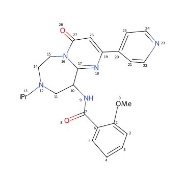 COc1ccccc1C(=O)NC1CN(C(C)C)CCn2c1nc(-c1ccncc1)cc2=O